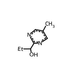 CCC(O)c1ncc(C)cn1